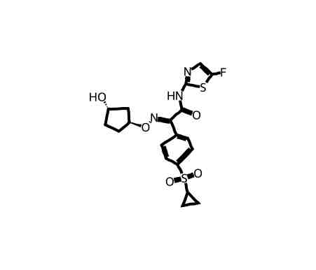 O=C(Nc1ncc(F)s1)/C(=N/O[C@H]1CC[C@H](O)C1)c1ccc(S(=O)(=O)C2CC2)cc1